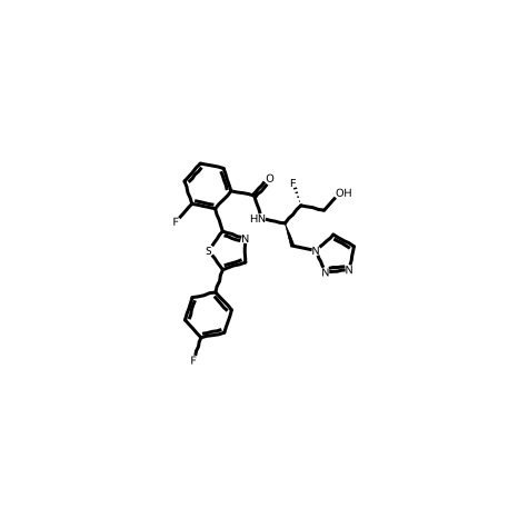 O=C(N[C@H](Cn1ccnn1)[C@H](F)CO)c1cccc(F)c1-c1ncc(-c2ccc(F)cc2)s1